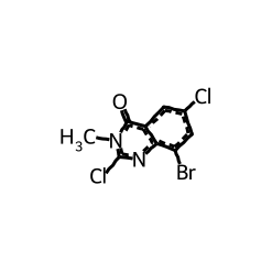 Cn1c(Cl)nc2c(Br)cc(Cl)cc2c1=O